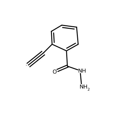 [C]#Cc1ccccc1C(=O)NN